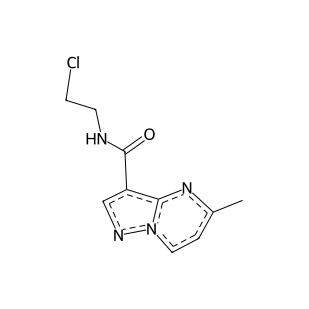 Cc1ccn2ncc(C(=O)NCCCl)c2n1